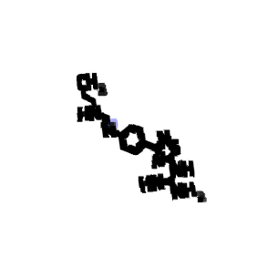 CCCN/C=N/c1ccc(-c2nsc(NC(=N)N)n2)cc1